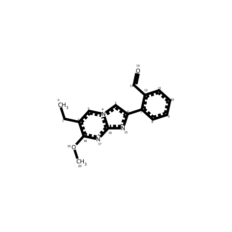 CCc1cn2cc(-c3ccccc3C=O)nc2nc1OC